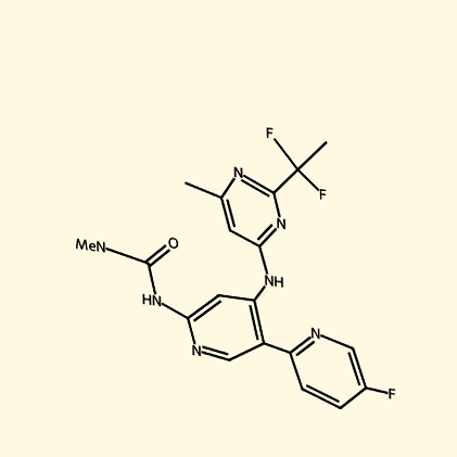 CNC(=O)Nc1cc(Nc2cc(C)nc(C(C)(F)F)n2)c(-c2ccc(F)cn2)cn1